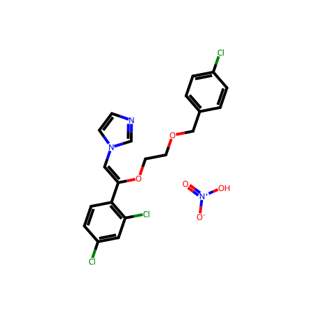 Clc1ccc(COCCOC(=Cn2ccnc2)c2ccc(Cl)cc2Cl)cc1.O=[N+]([O-])O